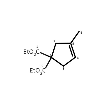 CCOC(=O)C1(C(=O)OCC)CC=C(C)C1